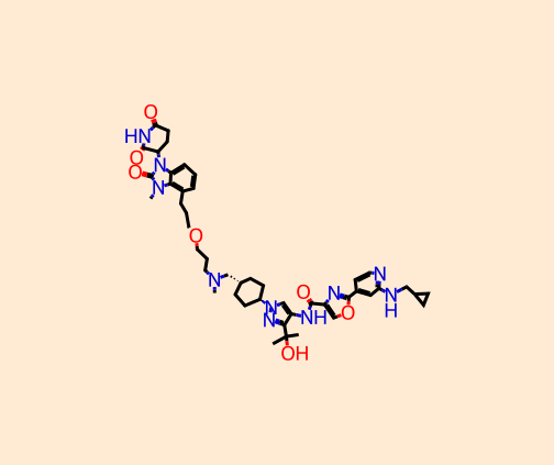 CN(CCCOCCCc1cccc2c1n(C)c(=O)n2C1CCC(=O)NC1=O)C[C@H]1CC[C@H](n2cc(NC(=O)c3coc(-c4ccnc(NCC5CC5)c4)n3)c(C(C)(C)O)n2)CC1